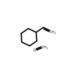 C=CC1CCCCC1.C=O